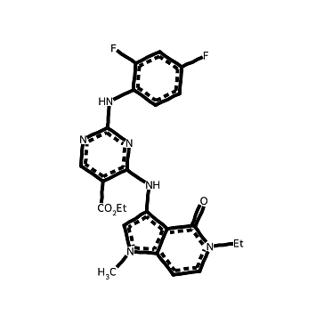 CCOC(=O)c1cnc(Nc2ccc(F)cc2F)nc1Nc1cn(C)c2ccn(CC)c(=O)c12